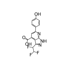 O=C(O)c1cc(-c2ccc(O)cc2)nc2[nH]nc(C(F)C(F)F)c12